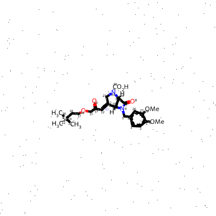 COc1ccc(CN2C(=O)[C@@H]3[C@H]2/C(=C/C(=O)COCC[Si](C)(C)C)CN3C(=O)O)cc1OC